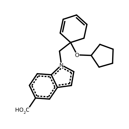 O=C(O)c1ccc2c(ccn2CC2(OC3CCCC3)C=CC=CC2)c1